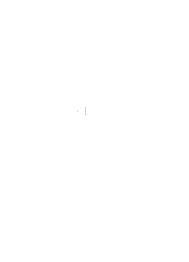 C[CH]C1(Cl)CCCCC1